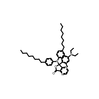 CCCCCCCCc1ccc(N(c2ccc(CCCCCCCC)cc2)C2(c3ccc(N(CC)CC)cc3C)OC(=O)c3nccnc32)cc1